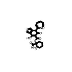 NC(=O)C1(OC(=O)C2=C(O)c3cscc3C(C3=CC=CC=CN3)C2=O)CCCCC1